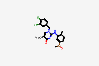 COc1cn(Cc2ccc(F)c(Cl)c2)c(Nc2cc([S+](C)[O-])ccc2C)nc1=O